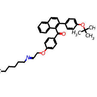 CCCCCCN=CCOc1ccc(C(=O)c2c(-c3ccc(OC(C)(C)C)cc3)ccc3ccccc23)cc1